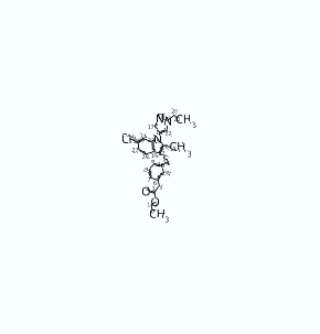 CCOC(=O)Cc1cccc(Sc2c(C)n(-c3cnn(CC)c3)c3cc(Cl)ccc23)c1